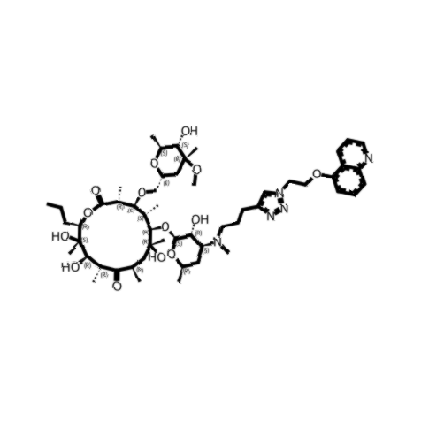 CCC[C@H]1OC(=O)[C@H](C)[C@@H](OC[C@H]2C[C@@](C)(OC)[C@@H](O)[C@H](C)O2)[C@H](C)[C@@H](O[C@@H]2O[C@H](C)C[C@H](N(C)CCCc3cn(CCOc4cccc5ncccc45)nn3)[C@H]2O)[C@](C)(O)C[C@@H](C)C(=O)[C@H](C)[C@@H](O)[C@]1(C)O